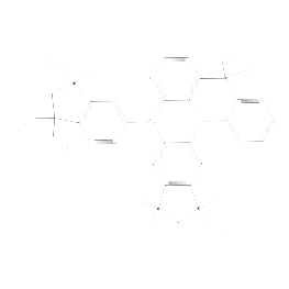 CC1(C)CC(C)(C)c2cc(N3c4cc5c(cc4B4c6ccccc6C(C)(C)c6ccnc3c64)C(C)(C)CC5(C)C)ccc21